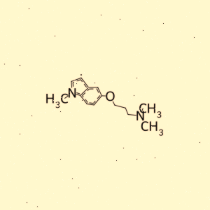 CN(C)CCCOc1ccc2c([c]cn2C)c1